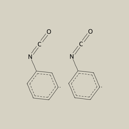 O=C=Nc1c[c]ccc1.O=C=Nc1c[c]ccc1